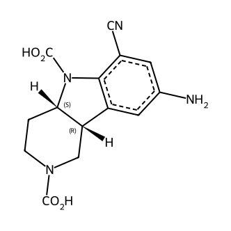 N#Cc1cc(N)cc2c1N(C(=O)O)[C@H]1CCN(C(=O)O)C[C@@H]21